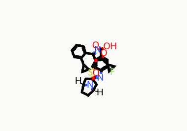 O=C(O)c1cc(F)c2nc(N3[C@@H]4CC[C@H]3C[C@@H](OCc3c(-c5ccccc5C5CC5)noc3C3CC3)C4)sc2c1